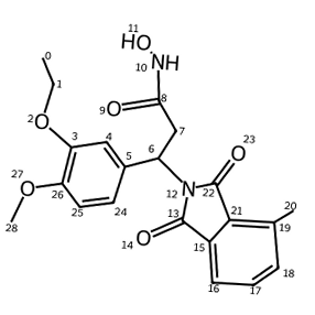 CCOc1cc(C(CC(=O)NO)N2C(=O)c3cccc(C)c3C2=O)ccc1OC